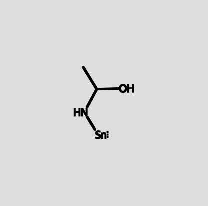 CC(O)[NH][Sn]